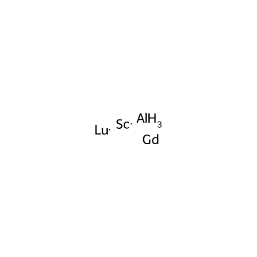 [AlH3].[Gd].[Lu].[Sc]